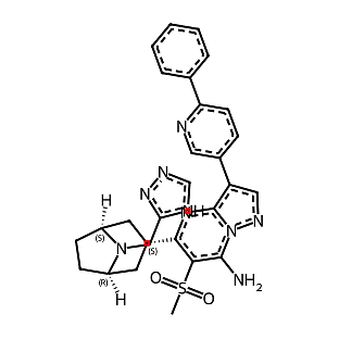 CS(=O)(=O)c1c([C@@H]2C[C@H]3CC[C@@H](C2)N3Cc2nnc[nH]2)nc2c(-c3ccc(-c4ccccc4)nc3)cnn2c1N